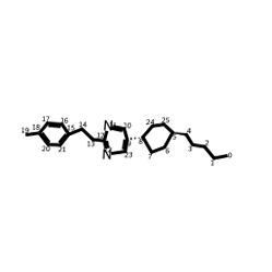 CCCCC[C@H]1CC[C@H](c2cnc(CCc3ccc(C)cc3)nc2)CC1